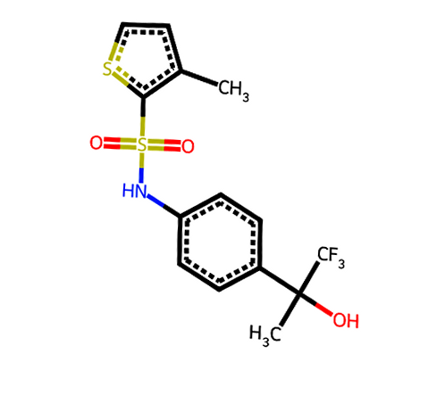 Cc1ccsc1S(=O)(=O)Nc1ccc(C(C)(O)C(F)(F)F)cc1